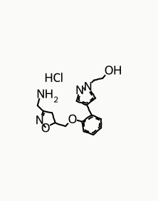 Cl.NCC1=NOC(COc2ccccc2-c2cnn(CCO)c2)C1